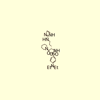 CCN(CC)c1ccc(S(=O)(=O)N[C@@H](CCCNc2ncc[nH]2)C(=O)N2CCCCC2)cc1